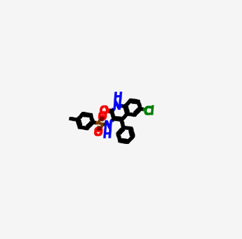 Cc1ccc(S(=O)(=O)Nc2c(-c3ccccc3)c3cc(Cl)ccc3[nH]c2=O)cc1